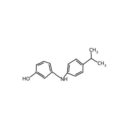 CC(C)c1ccc(Nc2cccc(O)c2)cc1